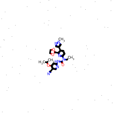 CCN(C(=O)Nc1cc(OC(C)C)c(C#N)cn1)c1ccc(-c2cnn(C)c2)c(C2OCCO2)n1